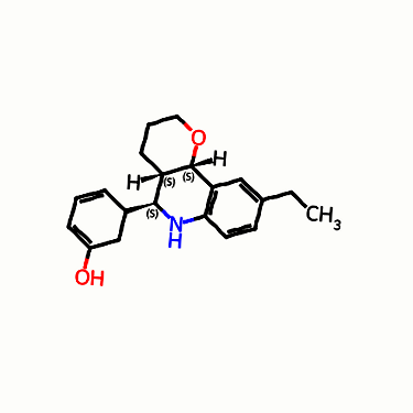 CCc1ccc2c(c1)[C@H]1OCCC[C@H]1[C@H](C1C=CC=C(O)C1)N2